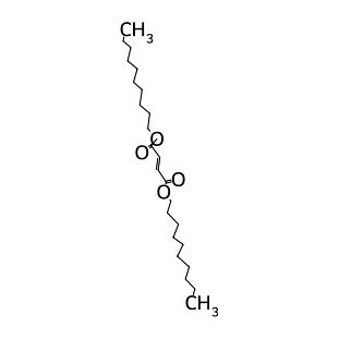 CCCCCCCCCCOC(=O)/C=C/C(=O)OCCCCCCCCCC